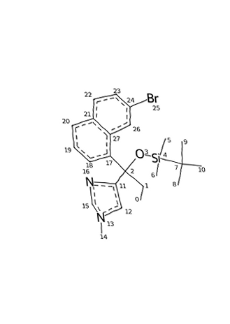 CCC(O[Si](C)(C)C(C)(C)C)(c1cn(C)cn1)c1cccc2ccc(Br)cc12